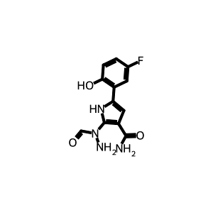 NC(=O)c1cc(-c2cc(F)ccc2O)[nH]c1N(N)C=O